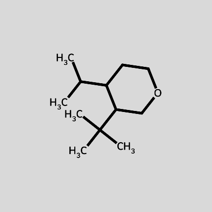 CC(C)C1CCOCC1C(C)(C)C